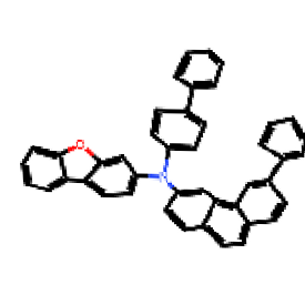 c1ccc(-c2ccc(N(c3ccc4c(c3)oc3ccccc34)c3ccc4ccc5ccc(-c6ccccc6)cc5c4c3)cc2)cc1